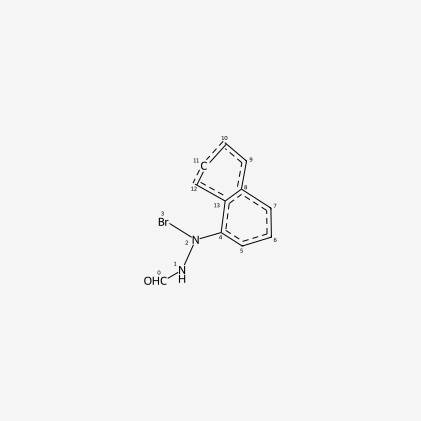 O=CNN(Br)c1cccc2ccccc12